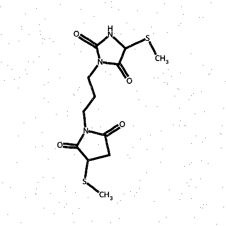 CSC1CC(=O)N(CCCN2C(=O)NC(SC)C2=O)C1=O